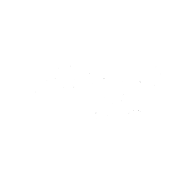 CCC(C)c1ccc(OCCC(=O)Oc2c(COC)cccc2COC)cc1